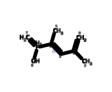 C=C(C)/C=C(\C)[PH](=C)O